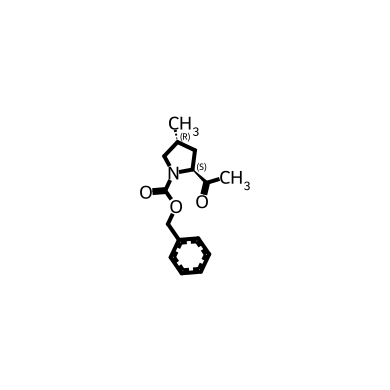 CC(=O)[C@@H]1C[C@@H](C)CN1C(=O)OCc1ccccc1